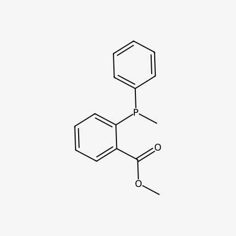 COC(=O)c1ccccc1P(C)c1ccccc1